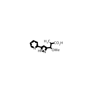 COC(c1cc(-c2ccccn2)[nH]n1)C(C)C(=O)O